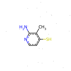 Cc1c(S)ccnc1N